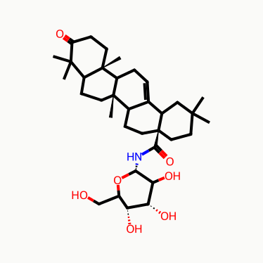 CC1(C)CC[C@]2(C(=O)N[C@H]3OC(CO)[C@@H](O)[C@@H](O)C3O)CCC3C(=CCC4[C@@]3(C)CCC3C(C)(C)C(=O)CC[C@@]34C)C2C1